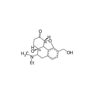 CCN(C)C1Cc2ccc(CO)c3c2C2[C@@H](O3)C(=O)CC[C@]21O